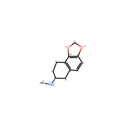 CCCN[C@H]1CCc2c(ccc3c2OCO3)C1